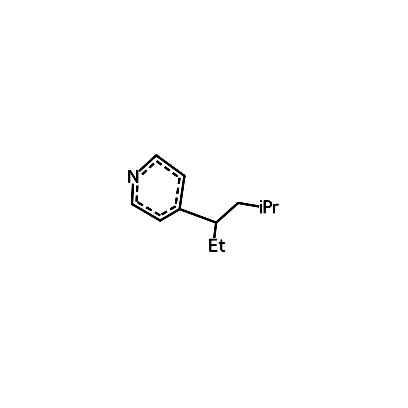 CCC(CC(C)C)c1ccncc1